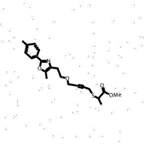 COC(=O)C(C)SCC#CCOCCc1nc(-c2ccc(C)cc2)oc1C